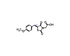 COc1ccc(/C=C2\SC(=O)N(CC(=O)O)C2=O)cc1